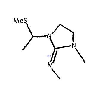 C/N=C1\N(C)CCN1C(C)SC